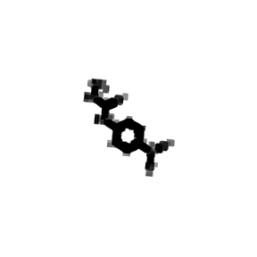 NNC(=O)Nc1ccc([N+](=O)[O-])cc1